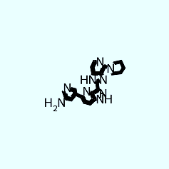 Nc1cncc(-c2ccc3[nH]nc(-c4nc5c(N6CCCCC6)nccc5[nH]4)c3n2)c1